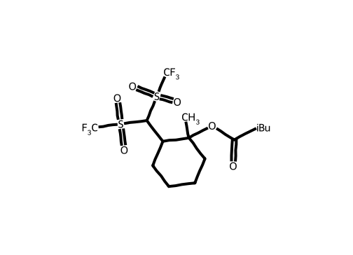 CCC(C)C(=O)OC1(C)CCCCC1C(S(=O)(=O)C(F)(F)F)S(=O)(=O)C(F)(F)F